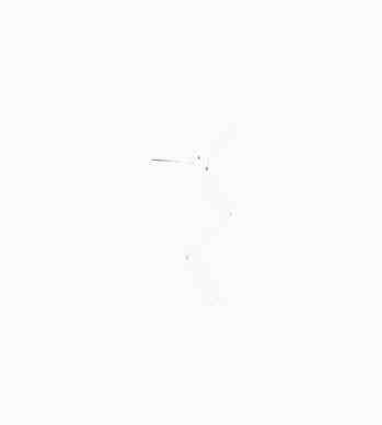 C=CC=[N+](C)C